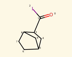 O=C(I)C1CC2CCC1C2